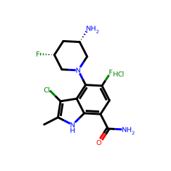 Cc1[nH]c2c(C(N)=O)cc(F)c(N3C[C@@H](N)C[C@@H](F)C3)c2c1Cl.Cl